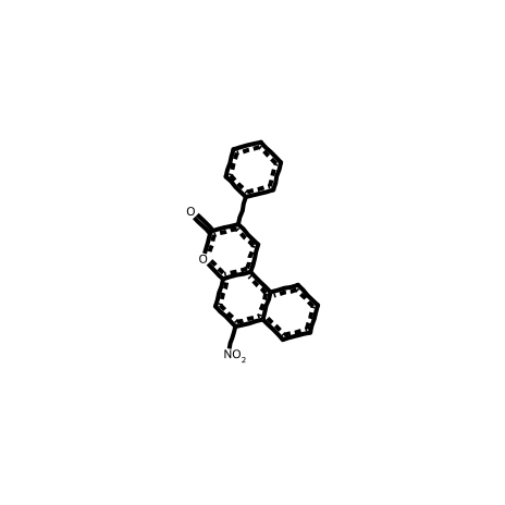 O=c1oc2cc([N+](=O)[O-])c3ccccc3c2cc1-c1ccccc1